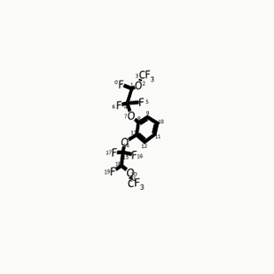 FC(OC(F)(F)F)C(F)(F)Oc1ccccc1OC(F)(F)C(F)OC(F)(F)F